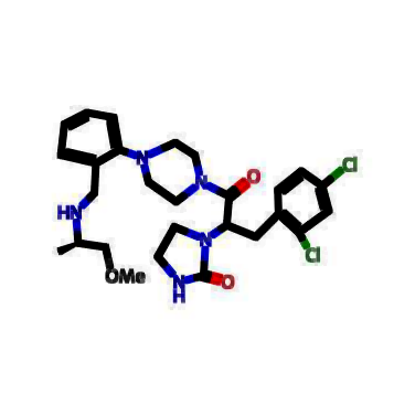 COC[C@@H](C)NCc1ccccc1N1CCN(C(=O)C(Cc2ccc(Cl)cc2Cl)N2CCNC2=O)CC1